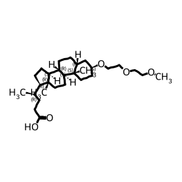 COCCOCCO[C@H]1CC[C@@]2(C)[C@H](CC[C@@H]3[C@@H]2CC[C@]2(C)[C@@H]([C@H](C)CCC(=O)O)CC[C@@H]32)C1